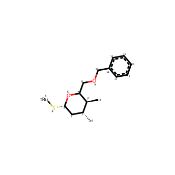 C[C@@H]1C[C@H](SC(C)(C)C)OC(COCc2ccccc2)[C@H]1C